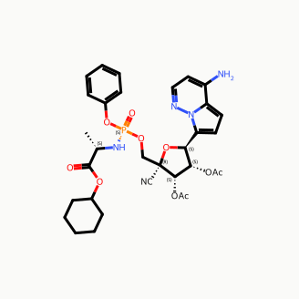 CC(=O)O[C@H]1[C@H](c2ccc3c(N)ccnn23)O[C@](C#N)(CO[P@@](=O)(N[C@@H](C)C(=O)OC2CCCCC2)Oc2ccccc2)[C@H]1OC(C)=O